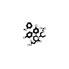 CCC(CN=S(=O)=O)N1C(=O)[C@@](C)(CC(=O)O)C[C@H](c2cccc(Cl)c2)[C@H]1c1ccc(Cl)cc1.COc1ccccc1